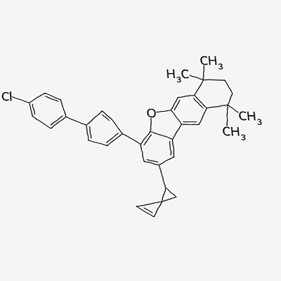 CC1(C)CCC(C)(C)c2cc3c(cc21)oc1c(-c2ccc(-c4ccc(Cl)cc4)cc2)cc(C2CC24C=C4)cc13